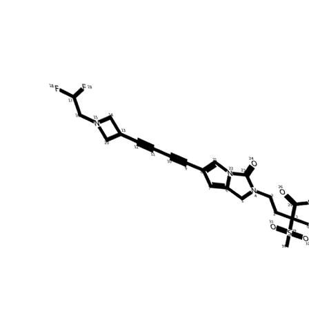 CC(CCN1Cc2cc(C#CC#CC3CN(CC(F)F)C3)cn2C1=O)(C(=O)NO)S(C)(=O)=O